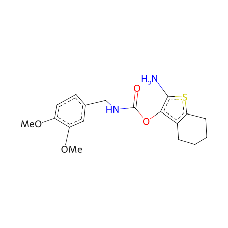 COc1ccc(CNC(=O)Oc2c(N)sc3c2CCCC3)cc1OC